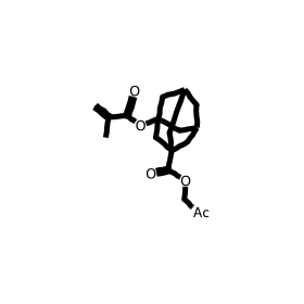 C=C(C)C(=O)OC12CC3CC(C1)CC(C(=O)OCC(C)=O)(C3)C2